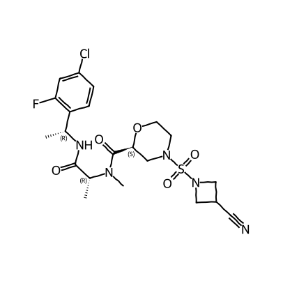 C[C@H](C(=O)N[C@H](C)c1ccc(Cl)cc1F)N(C)C(=O)[C@@H]1CN(S(=O)(=O)N2CC(C#N)C2)CCO1